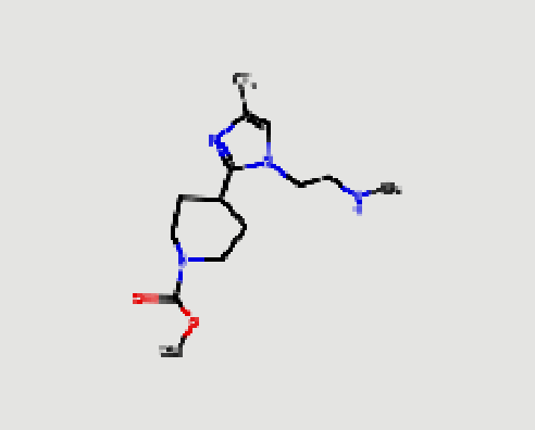 CC(C)(C)NCCn1cc(C(F)(F)F)nc1C1CCN(C(=O)OC(C)(C)C)CC1